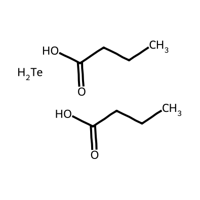 CCCC(=O)O.CCCC(=O)O.[TeH2]